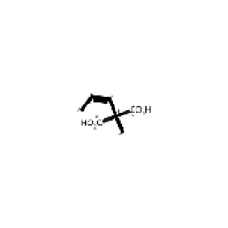 C/C=C\C(C)(C(=O)O)C(=O)O